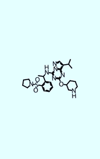 CC(C)c1cnn2c(NC(C)c3ccccc3S(=O)(=O)N3CCCC3)nc(OC3CCCNC3)nc12